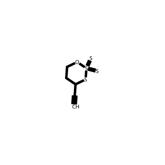 C#CC1CCOS(=S)(=S)S1